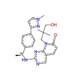 C[C@H](Nc1ncc2ccc(=O)n(CC(C)(C)CO)c2n1)c1ccc(-c2ccn(C)n2)cc1